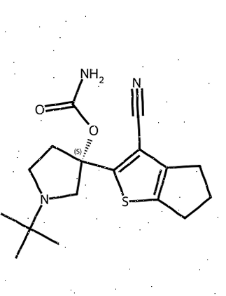 CC(C)(C)N1CC[C@@](OC(N)=O)(c2sc3c(c2C#N)CCC3)C1